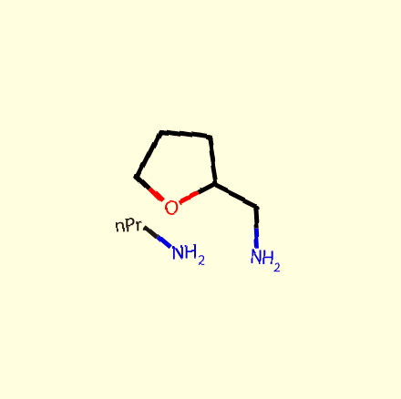 CCCN.NCC1CCCO1